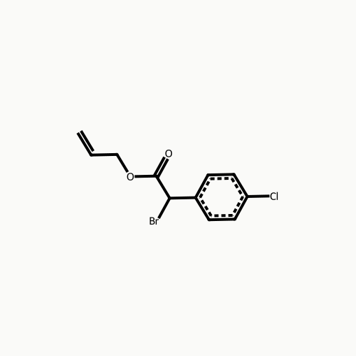 C=CCOC(=O)C(Br)c1ccc(Cl)cc1